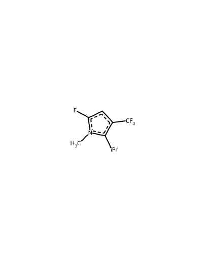 CC(C)c1c(C(F)(F)F)cc(F)n1C